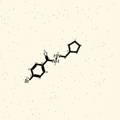 O=C(NNCC1CCCC1)c1ccc(Br)cc1